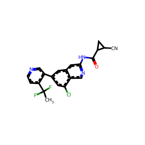 CC(F)(F)c1ccncc1-c1cc(Cl)c2cnc(NC(=O)C3CC3C#N)cc2c1